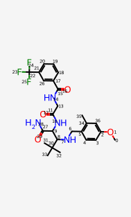 COc1ccc(CNC(C(NC(=O)CNC(=O)c2cccc(C(F)(F)F)c2)C(N)=O)C(C)(C)C)c(C)c1